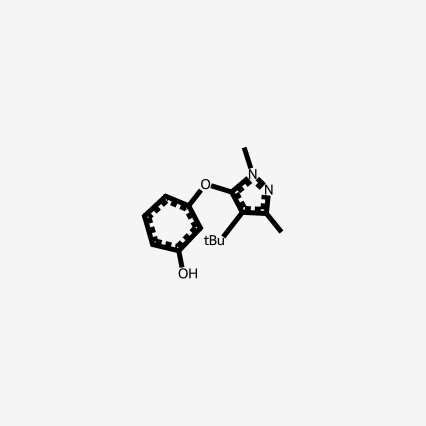 Cc1nn(C)c(Oc2cccc(O)c2)c1C(C)(C)C